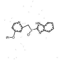 CC(C)Oc1ccnc(C[S+]([O-])c2nc3ccccc3[nH]2)c1